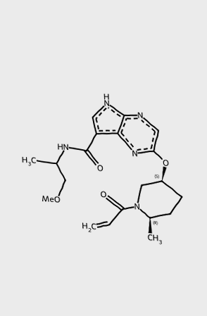 C=CC(=O)N1C[C@@H](Oc2cnc3[nH]cc(C(=O)NC(C)COC)c3n2)CC[C@H]1C